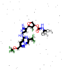 CC(C)NC(=O)O[C@@H]1CO[C@H](c2cc(Nc3nc(C(F)F)cn4nc(COC(F)(F)F)cc34)n[nH]2)[C@@H]1F